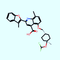 Cc1c(-c2cc(C(=O)O)c3c(OC[C@H]4CC[C@](C)(OC(F)F)CC4)ccc(C)c3n2)oc2ccccc12